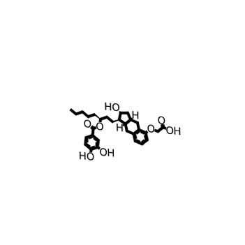 CCCCC[C@@H](CC[C@@H]1[C@H]2Cc3cccc(OCC(=O)O)c3C[C@H]2C[C@H]1O)OC(=O)c1ccc(O)c(O)c1